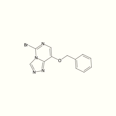 Brc1ncc(OCc2ccccc2)c2nncn12